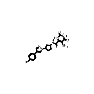 C=C1NC(=O)C(N)=C(C(=O)NC2CCC(n3cc(-c4ccc(Br)cc4)cn3)C2)N1